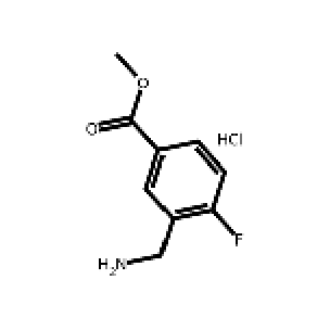 COC(=O)c1ccc(F)c(CN)c1.Cl